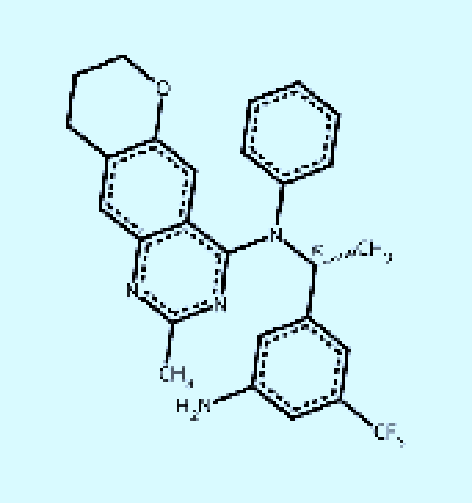 Cc1nc(N(c2ccccc2)[C@H](C)c2cc(N)cc(C(F)(F)F)c2)c2cc3c(cc2n1)CCCO3